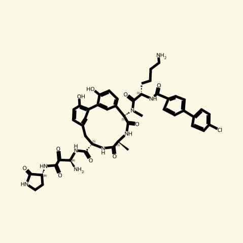 C[C@@H]1NC(=O)[C@@H](N(C)C(=O)[C@H](CCCCN)NC(=O)c2ccc(-c3ccc(Cl)cc3)cc2)c2ccc(O)c(c2)-c2cc(ccc2O)C[C@@H](C(=O)N[C@@H](N)C(=O)C(=O)N[C@@H]2CCNC2=O)NC1=O